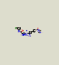 O=C(Cc1cc(Nc2ncnc3cc(-c4ccc(C(=O)N5CCNCC5)cc4)ccc23)n[nH]1)Nc1cccc(F)c1